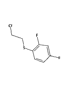 Fc1ccc(SCCCl)c(F)c1